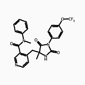 CN(C(=O)c1cnccc1CC1(C)NC(=O)N(c2ccc(OC(F)(F)F)cc2)C1=O)c1ccccc1